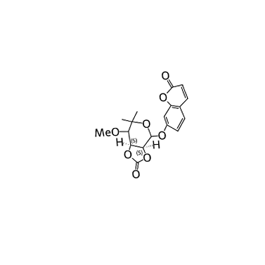 COC1[C@@H]2OC(=O)O[C@@H]2C(Oc2ccc3ccc(=O)oc3c2)OC1(C)C